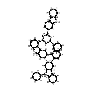 c1ccc(-c2nc(-c3ccc4c(c3)sc3ccccc34)nc(-c3cccc4oc5ccc(-c6ccccc6-c6ccc7c(c6)c6ccccc6n7-c6ccccc6)cc5c34)n2)cc1